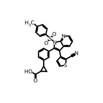 Cc1ccc(S(=O)(=O)n2c(-c3cccc(C4CC4C(=O)O)c3)c(-c3ccsc3C#N)c3cccnc32)cc1